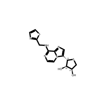 O[C@@H]1[C@H](O)CS[C@H]1c1cnc2c(NCc3nccs3)nccn12